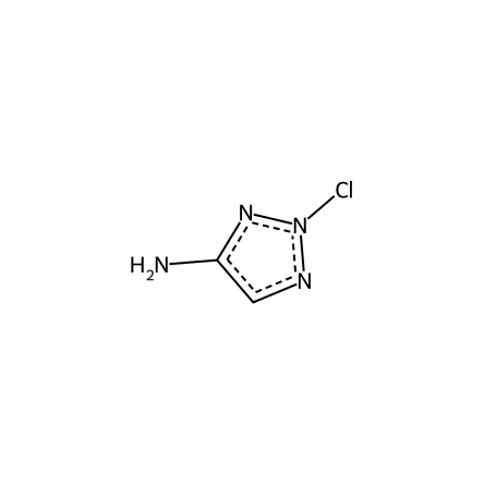 Nc1cnn(Cl)n1